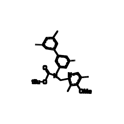 COc1c(C)cnc(CN(C(=O)OC(C)(C)C)c2cc(C)cc(-c3cc(C)cc(C)c3)c2)c1C